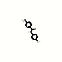 O=C(Nc1ccc(S)cc1)c1ccc([N+](=O)[O-])cc1